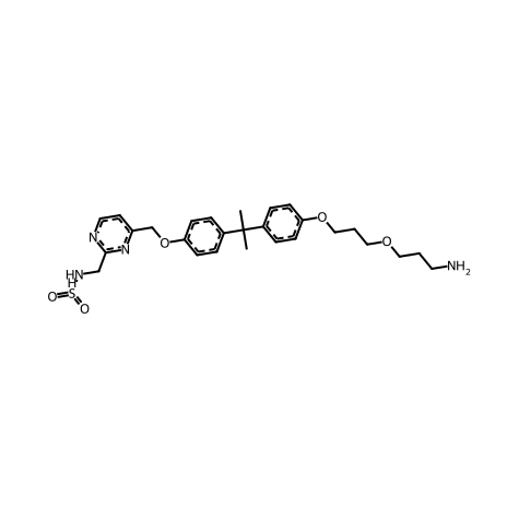 CC(C)(c1ccc(OCCCOCCCN)cc1)c1ccc(OCc2ccnc(CN[SH](=O)=O)n2)cc1